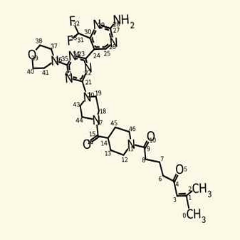 CC(C)=CC(=O)CCCC(=O)N1CCC(C(=O)N2CCN(c3nc(-c4cnc(N)nc4C(F)F)nc(N4CCOCC4)n3)CC2)CC1